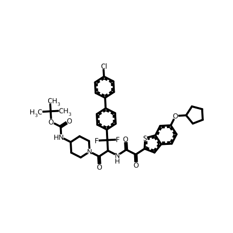 CC(C)(C)OC(=O)NC1CCN(C(=O)C(NC(=O)C(=O)c2cc3ccc(OC4CCCC4)cc3s2)C(F)(F)c2ccc(-c3ccc(Cl)cc3)cc2)CC1